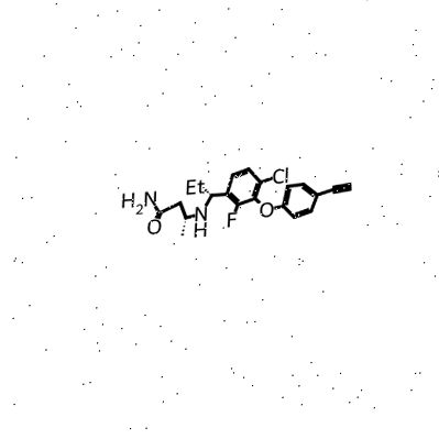 C#Cc1ccc(Oc2c(Cl)ccc([C@@H](CC)N[C@H](C)CC(N)=O)c2F)cc1